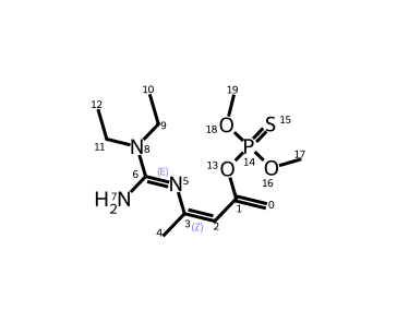 C=C(/C=C(C)\N=C(/N)N(CC)CC)OP(=S)(OC)OC